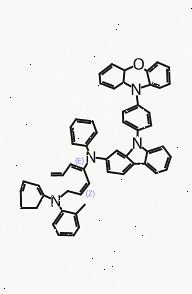 C=C/C=C(\C=C/CN(C1=CC=CCC1)c1ccccc1C)N(c1ccccc1)c1ccc2c3ccccc3n(-c3ccc(N4c5ccccc5OC5C=CC=CC54)cc3)c2c1